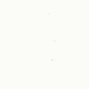 NS(=O)(=O)c1ccc(-c2cncc(Cl)c2O)cn1